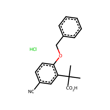 CC(C)(C(=O)O)c1cc(C#N)ccc1OCc1ccccc1.Cl